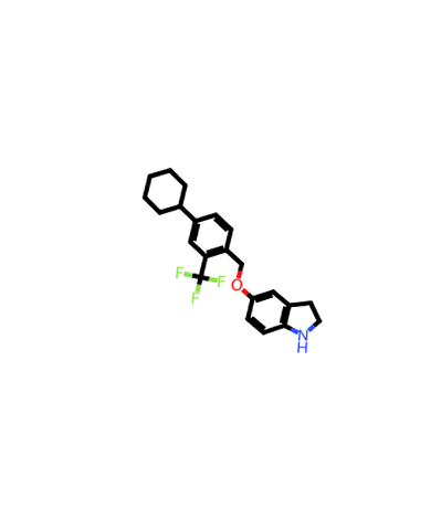 FC(F)(F)c1cc(C2CCCCC2)ccc1COc1ccc2c(c1)CCN2